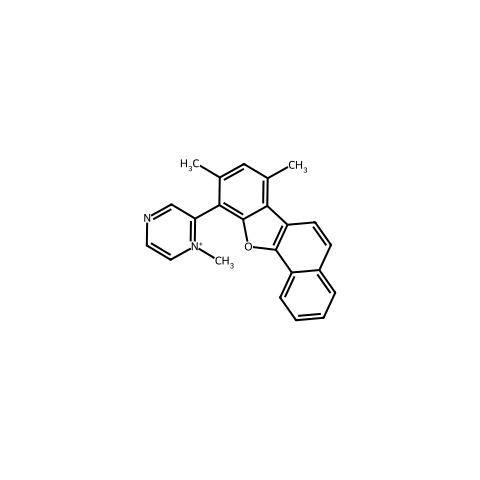 Cc1cc(C)c2c(oc3c4ccccc4ccc32)c1-c1cncc[n+]1C